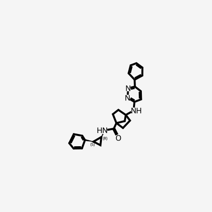 O=C(N[C@@H]1C[C@H]1c1ccccc1)C12CCC(Nc3ccc(-c4ccccc4)nn3)(CC1)C2